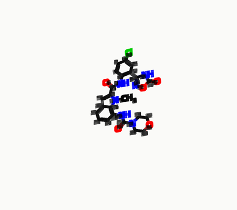 Cn1c(C(=O)Nc2ccc(Cl)cc2-c2noc(=O)[nH]2)cc2cccc(NC(=O)N3CCOCC3)c21